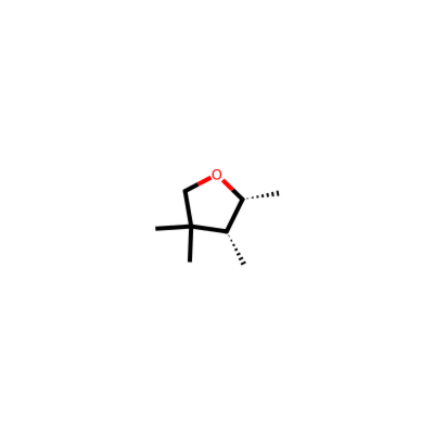 C[C@H]1OCC(C)(C)[C@H]1C